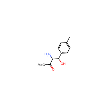 COC(=O)[C@@H](N)[C@H](O)c1ccc(C)cc1